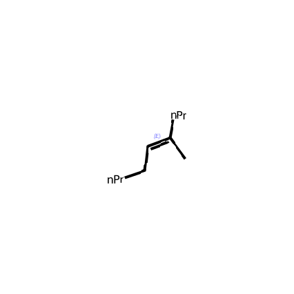 CCCC/C=C(\C)CCC